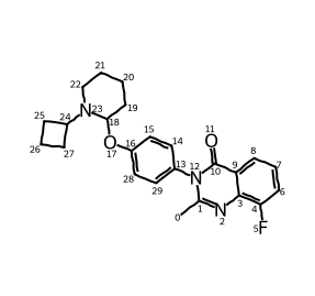 Cc1nc2c(F)cccc2c(=O)n1-c1ccc(OC2CCCCN2C2CCC2)cc1